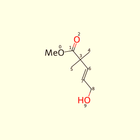 COC(=O)C(C)(C)C=CCO